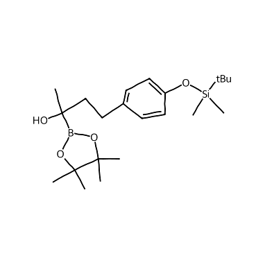 CC(O)(CCc1ccc(O[Si](C)(C)C(C)(C)C)cc1)B1OC(C)(C)C(C)(C)O1